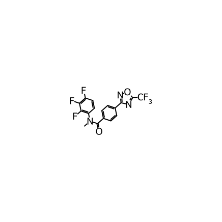 CN(C(=O)c1ccc(-c2noc(C(F)(F)F)n2)cc1)c1ccc(F)c(F)c1F